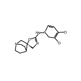 ClC1=C(Cl)CN(NC2=NC[C@@]3(CN4CCC3CC4)O2)C=C1